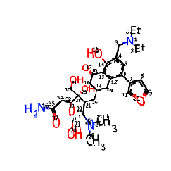 CCN(CC)Cc1cc(-c2ccoc2)c2c(c1O)C(=O)C[C@H](C[C@@H]([C@@H](CO)N(C)C)[C@](O)(CO)C(=O)CC(N)=O)C2